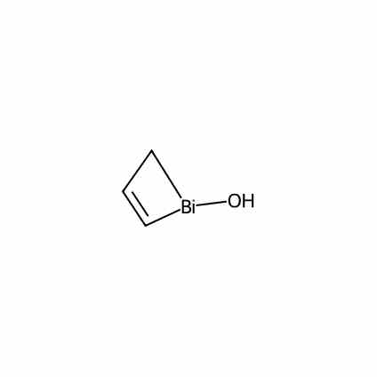 [OH][Bi]1[CH]=C[CH2]1